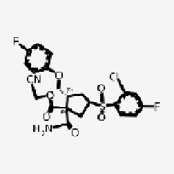 N#CCOC(=O)[C@]1(C(N)=O)CC(S(=O)(=O)c2ccc(F)cc2Cl)C[C@H]1COc1ccc(F)cc1